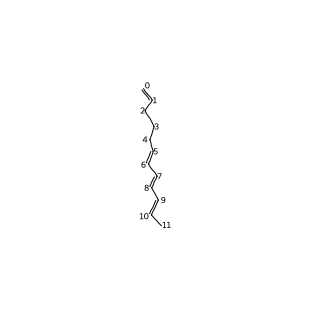 C=CCCC/C=C/C=C/C=C/C